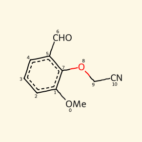 COc1cccc(C=O)c1OCC#N